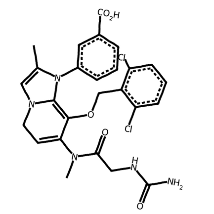 CC1=CN2CC=C(N(C)C(=O)CNC(N)=O)C(OCc3c(Cl)cccc3Cl)=C2N1c1cccc(C(=O)O)c1